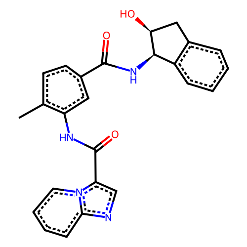 Cc1ccc(C(=O)N[C@@H]2c3ccccc3C[C@@H]2O)cc1NC(=O)c1cnc2ccccn12